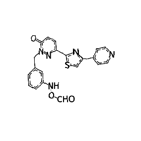 O=CONc1cccc(Cn2nc(-c3nc(-c4ccncc4)cs3)ccc2=O)c1